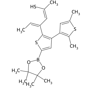 C/C=C(/C=C(/C)S)c1sc(B2OC(C)(C)C(C)(C)O2)cc1-c1cc(C)sc1C